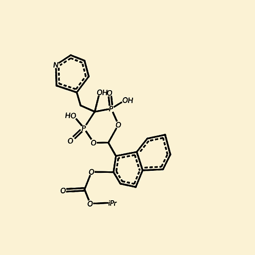 CC(C)OC(=O)Oc1ccc2ccccc2c1C1OP(=O)(O)C(O)(Cc2cccnc2)P(=O)(O)O1